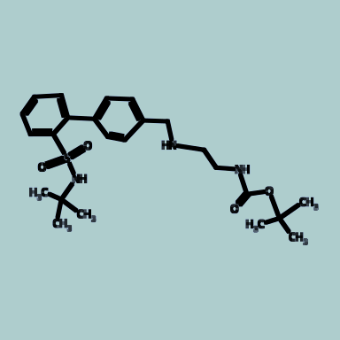 CC(C)(C)NS(=O)(=O)c1ccccc1-c1ccc(CNCCNC(=O)OC(C)(C)C)cc1